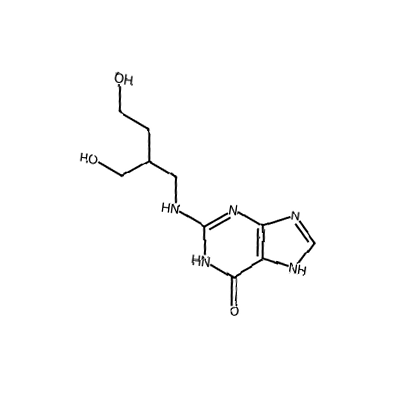 O=c1[nH]c(NCC(CO)CCO)nc2nc[nH]c12